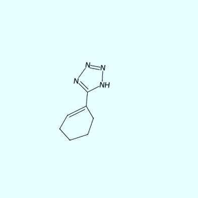 C1=C(c2nnn[nH]2)CCCC1